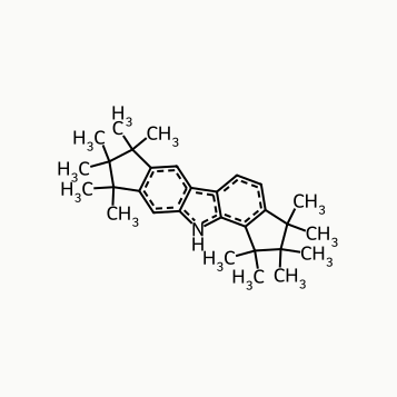 CC1(C)c2cc3[nH]c4c5c(ccc4c3cc2C(C)(C)C1(C)C)C(C)(C)C(C)(C)C5(C)C